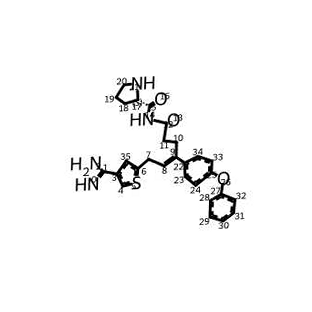 N=C(N)c1csc(CC=C(CCC(=O)NC(=O)[C@@H]2CCCN2)c2ccc(Oc3ccccc3)cc2)c1